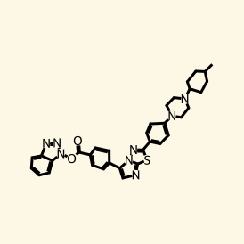 CC1CCC(N2CCN(c3ccc(-c4nn5c(-c6ccc(C(=O)On7nnc8ccccc87)cc6)cnc5s4)cc3)CC2)CC1